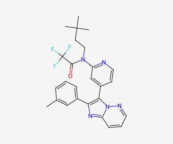 Cc1cccc(-c2nc3cccnn3c2-c2ccnc(N(CCC(C)(C)C)C(=O)C(F)(F)F)c2)c1